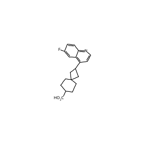 O=C(O)C1CCC2(CC1)CC(c1ccnc3ccc(F)cc13)C2